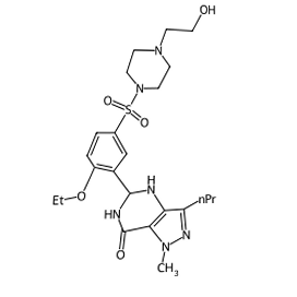 CCCc1nn(C)c2c1NC(c1cc(S(=O)(=O)N3CCN(CCO)CC3)ccc1OCC)NC2=O